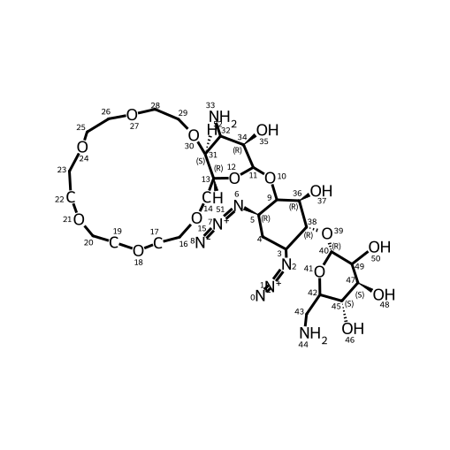 [N-]=[N+]=NC1C[C@@H](N=[N+]=[N-])C(OC2O[C@@H]3COCCOCCOCCOCCOCCO[C@H]3C(N)[C@H]2O)[C@@H](O)[C@@H]1O[C@H]1OC(CN)[C@@H](O)[C@H](O)C1O